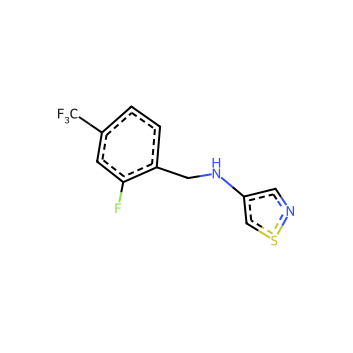 Fc1cc(C(F)(F)F)ccc1CNc1cnsc1